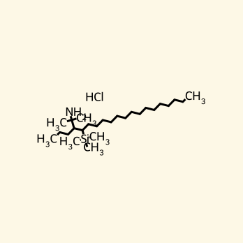 CCCCCCCCCCCCCCCC(C(CCC)C(C)(C)N)[Si](C)(C)C.Cl